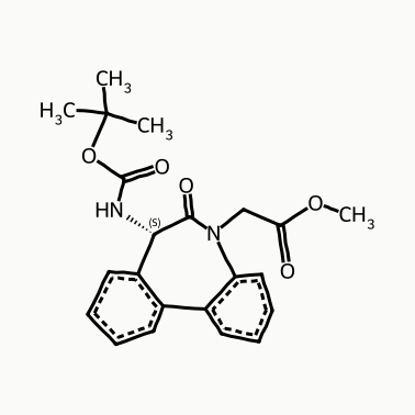 COC(=O)CN1C(=O)[C@@H](NC(=O)OC(C)(C)C)c2ccccc2-c2ccccc21